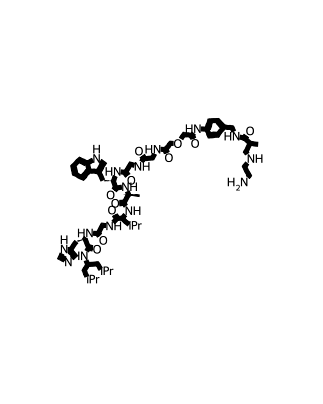 CC(C)CC(CC(C)C)NC(=O)[C@H](Cc1cnc[nH]1)NC(=O)CNC(=O)C(NC(=O)[C@H](C)NC(=O)[C@H](Cc1c[nH]c2ccccc12)NC(=O)CNC(=O)CNC(=O)COCC(=O)Nc1ccc(CNC(=O)C(C)CNCCN)cc1)C(C)C